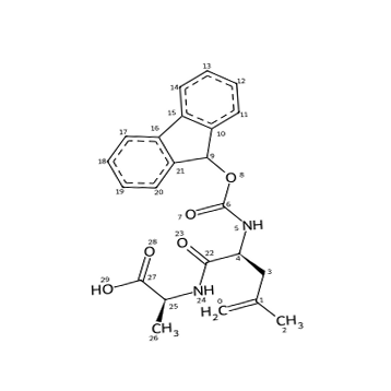 C=C(C)C[C@H](NC(=O)OC1c2ccccc2-c2ccccc21)C(=O)N[C@@H](C)C(=O)O